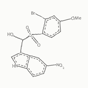 COc1ccc(S(=O)(=O)C(O)c2c[nH]c3ccc([N+](=O)[O-])cc23)c(Br)c1